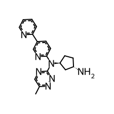 Cc1cnc(N(c2ccc(-c3ccccn3)cn2)[C@H]2CC[C@H](N)C2)nn1